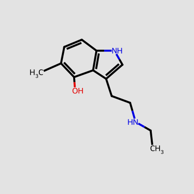 CCNCCc1c[nH]c2ccc(C)c(O)c12